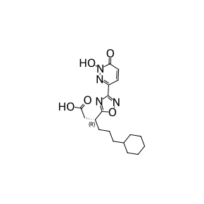 O=C(O)C[C@@H](CCCC1CCCCC1)c1nc(-c2ccc(=O)n(O)n2)no1